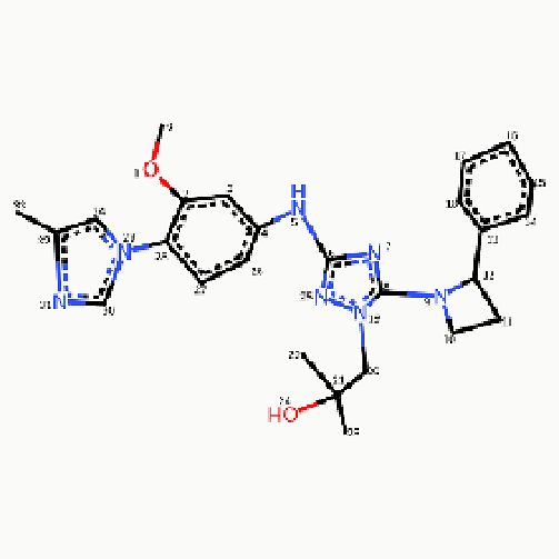 COc1cc(Nc2nc(N3CCC3c3ccccc3)n(CC(C)(C)O)n2)ccc1-n1cnc(C)c1